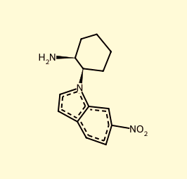 N[C@H]1CCCC[C@H]1n1ccc2ccc([N+](=O)[O-])cc21